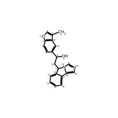 Cc1coc2ccc(C(O)CC3c4ccccc4-c4cncn43)cc12